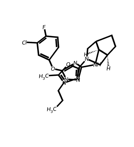 CCCn1nc(N[C@H]2C3CC[C@H]2CN(c2nnc(C)o2)C3)nc1Oc1ccc(F)c(Cl)c1